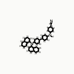 CN(c1ccc(C#N)cc1)c1ccc(-c2ccc(N(c3cccc4ccccc34)c3cccc4ccccc34)cc2)cc1